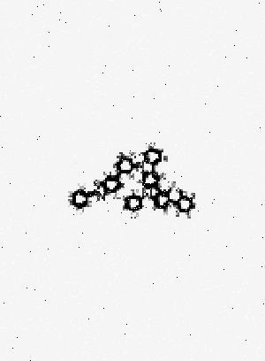 Cc1ccccc1-c1ccc2c(c1C)c1cc3c4ccccc4n(-c4cccc(-c5ccc6nc(-c7ccccc7)sc6c5)c4)c3cc1n2-c1ccccc1